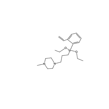 C=Cc1ccccc1[Si](CCCN1CCN(C)CC1)(OCC)OCC